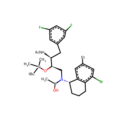 CCc1cc(Br)c2c(c1)[C@@H](N(C[C@@H](O[Si](C)(C)C(C)(C)C)[C@H](Cc1cc(F)cc(F)c1)NC(C)=O)B(C)O)CCC2